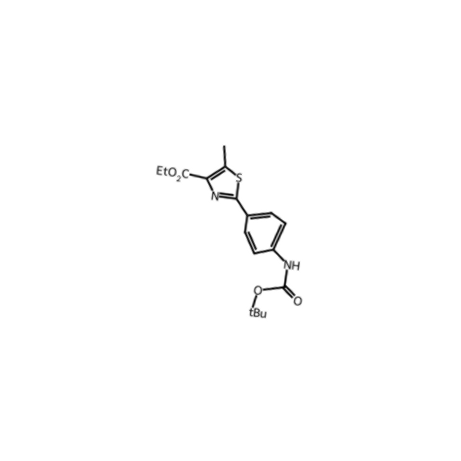 CCOC(=O)c1nc(-c2ccc(NC(=O)OC(C)(C)C)cc2)sc1C